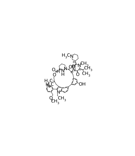 CCn1c(-c2cnccc2COC)c2c3cc(ccc31)-c1cc(O)cc(c1)C[C@H](NC(=O)[C@H](C(C)C)N(C)C(=O)[C@@H]1CCCN(C)C1)C(=O)N1CCC[C@H](N1)C(=O)OCC(C)(C)C2